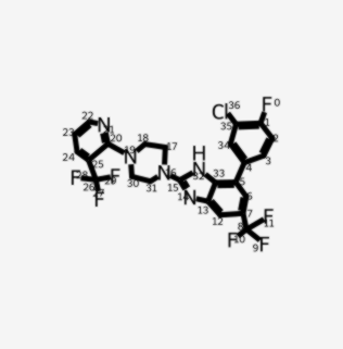 Fc1ccc(-c2cc(C(F)(F)F)cc3nc(N4CCN(c5ncccc5C(F)(F)F)CC4)[nH]c23)cc1Cl